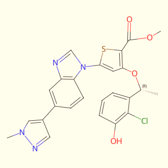 COC(=O)c1sc(-n2cnc3cc(-c4cnn(C)c4)ccc32)cc1O[C@H](C)c1cccc(O)c1Cl